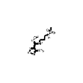 CS(=O)(=O)NCCCNC(=NO)c1nonc1N